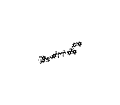 O=C(COc1cccc(C(C(=O)OCC2CCN(Cc3ccccc3)CC2)c2ccccc2)c1)NCCCNC(=O)c1ccc(CCNC[C@H](O)c2ccc(O)c3[nH]c(=O)ccc23)cc1